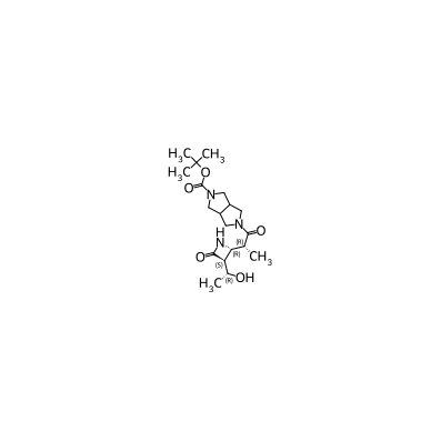 C[C@@H](O)[C@H]1C(=O)N[C@@H]1[C@@H](C)C(=O)N1CC2CN(C(=O)OC(C)(C)C)CC2C1